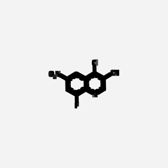 N#Cc1cnc2c(F)cc([N+](=O)[O-])cc2c1Cl